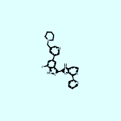 Fc1cc(-c2cncc(CN3CCCCC3)c2)cc2c(-c3nc4c(-c5ccccn5)nccc4[nH]3)n[nH]c12